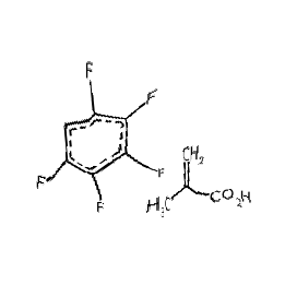 C=C(C)C(=O)O.Fc1cc(F)c(F)c(F)c1F